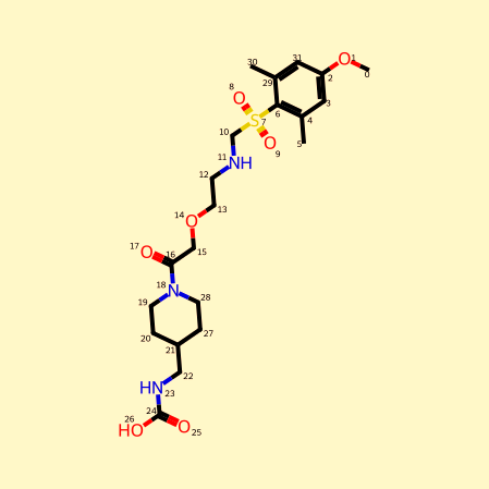 COc1cc(C)c(S(=O)(=O)CNCCOCC(=O)N2CCC(CNC(=O)O)CC2)c(C)c1